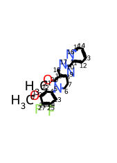 COc1cc(N2CCc3nc(-c4ccccn4)ncc3C2OC)cc(F)c1F